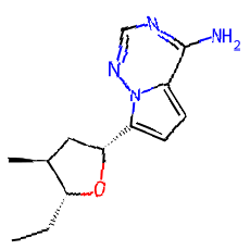 CC[C@H]1O[C@@H](c2ccc3c(N)ncnn23)C[C@@H]1C